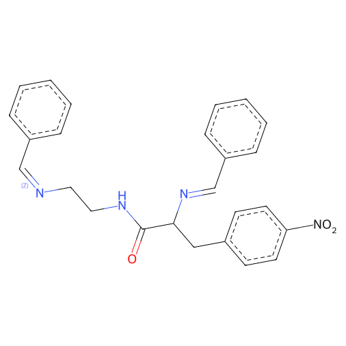 O=C(NCC/N=C\c1ccccc1)C(Cc1ccc([N+](=O)[O-])cc1)N=Cc1ccccc1